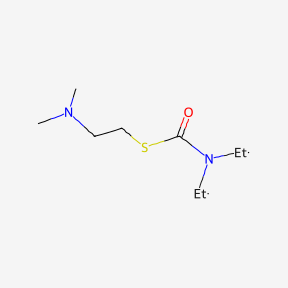 [CH2][CH]N([CH][CH2])C(=O)SCCN(C)C